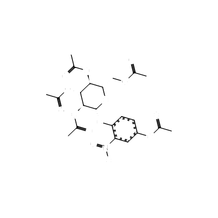 CC(=O)OC[C@@H]1O[C@H](Oc2ccc(OC(C)=O)cc2[N+](=O)[O-])[C@@H](OC(C)=O)[C@H](OC(C)=O)[C@H]1OC(C)=O